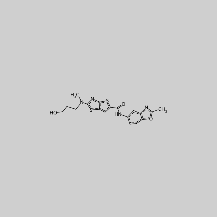 Cc1nc2cc(NC(=O)c3cc4sc(N(C)CCCO)nc4s3)ccc2o1